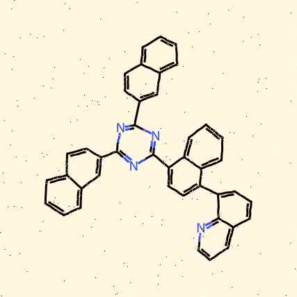 c1ccc2cc(-c3nc(-c4ccc5ccccc5c4)nc(-c4ccc(-c5cccc6cccnc56)c5ccccc45)n3)ccc2c1